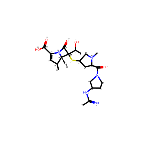 CC(=N)NC1CCN(C(=O)C2CC(SC3(C(C)O)C(=O)N4C(C(=O)O)=CC(C)[C@H]43)CN2C)C1